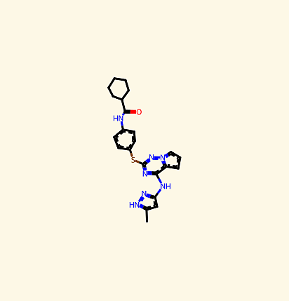 Cc1cc(Nc2nc(Sc3ccc(NC(=O)C4CCCCC4)cc3)nn3cccc23)n[nH]1